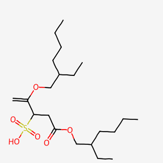 C=C(OCC(CC)CCCC)C(CC(=O)OCC(CC)CCCC)S(=O)(=O)O